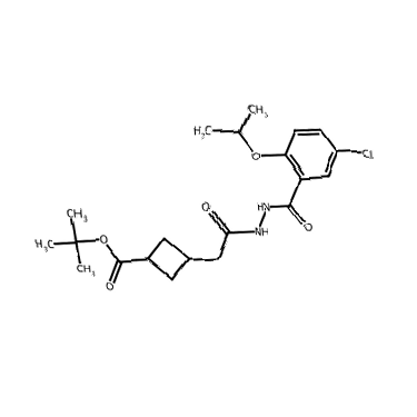 CC(C)Oc1ccc(Cl)cc1C(=O)NNC(=O)CC1CC(C(=O)OC(C)(C)C)C1